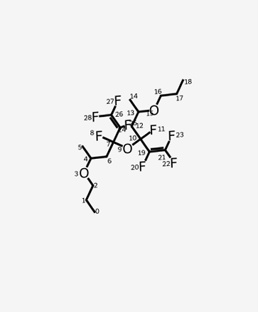 CCCOC(C)CC(F)(OC(F)(CC(C)OCCC)C(F)=C(F)F)C(F)=C(F)F